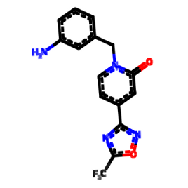 Nc1cccc(Cn2ccc(-c3noc(C(F)(F)F)n3)cc2=O)c1